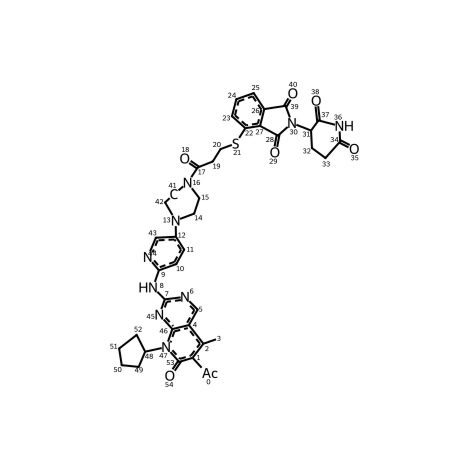 CC(=O)c1c(C)c2cnc(Nc3ccc(N4CCN(C(=O)CCSc5cccc6c5C(=O)N(C5CCC(=O)NC5=O)C6=O)CC4)cn3)nc2n(C2CCCC2)c1=O